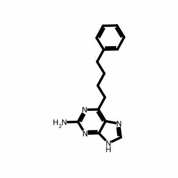 Nc1nc(CCCCc2ccccc2)c2nc[nH]c2n1